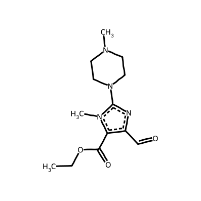 CCOC(=O)c1c(C=O)nc(N2CCN(C)CC2)n1C